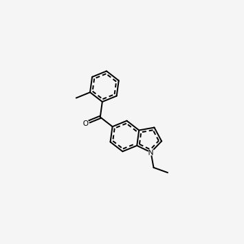 CCn1ccc2cc(C(=O)c3ccccc3C)ccc21